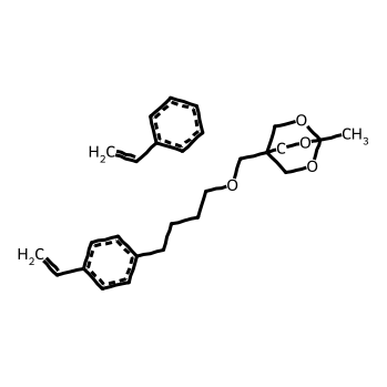 C=Cc1ccc(CCCCOCC23COC(C)(OC2)OC3)cc1.C=Cc1ccccc1